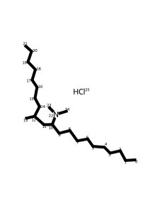 CCCCCCCCCCC(CC(C)CCCCCCCC)N(C)C.Cl